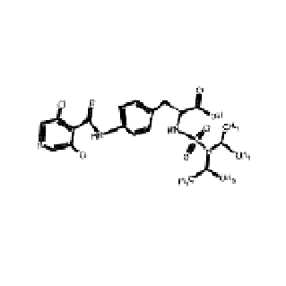 CC(C)N(C(C)C)S(=O)(=O)N[C@@H](Cc1ccc(NC(=O)c2c(Cl)cncc2Cl)cc1)C(=O)O